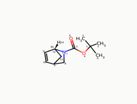 CC(C)(C)OC(=O)N1CC2C=C[C@H]1C2